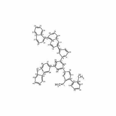 C=Cc1cc(-c2nc(-c3cccc(-c4ccc5c(-c6cccc7ccccc67)cccc5c4)c3)nc(-c3ccc4sc5ccccc5c4c3)n2)ccc1-c1ccccc1C